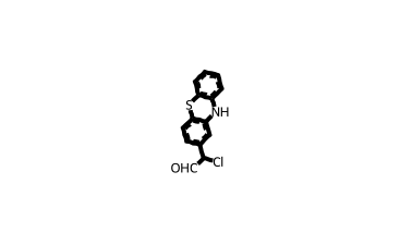 O=CC(Cl)c1ccc2c(c1)Nc1ccccc1S2